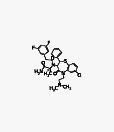 C[C@@H](C(N)=O)N(C(=O)Cc1cc(F)cc(F)c1)C1C(=O)N(CCN(C)C)c2cc(Cl)ccc2SC1c1ccccc1